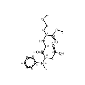 COC(=O)C(CCSC)NCC(=O)N(CC(=O)O)N(C)c1ccccc1